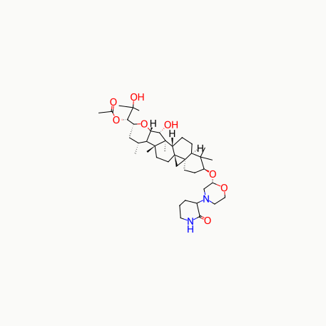 CC(=O)O[C@@H]([C@H]1C[C@@H](C)C2[C@H](O1)[C@H](O)[C@@]1(C)[C@@H]3CC[C@H]4C(C)(C)[C@@H](O[C@H]5CN(C6CCCNC6=O)CCO5)CC[C@@]45C[C@@]35CC[C@]21C)C(C)(C)O